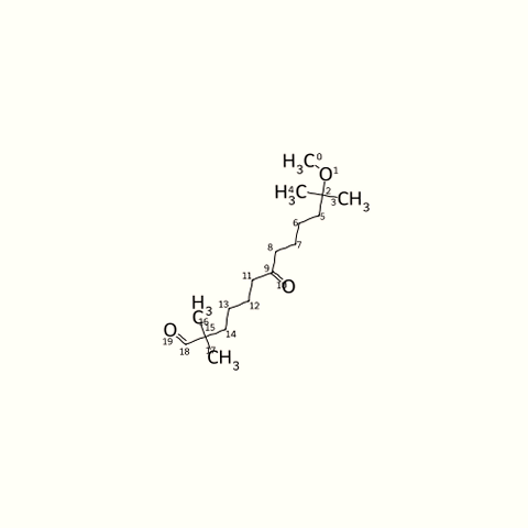 COC(C)(C)CCCCC(=O)CCCCC(C)(C)C=O